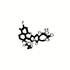 CC[C@@]1(O)C(=O)OCc2c1cc1n(c2=O)Cc2c-1nc1cc(F)c(C)c3c1c2[C@](C)(NC(=O)C1(O)CC1)CC3